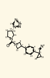 N#CC1(c2ccc(C3CN(C(=O)N4CC[C@H](n5cnnn5)C4)C3)cc2)CC1